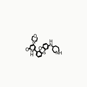 O=c1cc(N2CCOCC2)cc(-c2cccc3c2Oc2ccc(NC4CCCNCC4)cc2S3)[nH]1